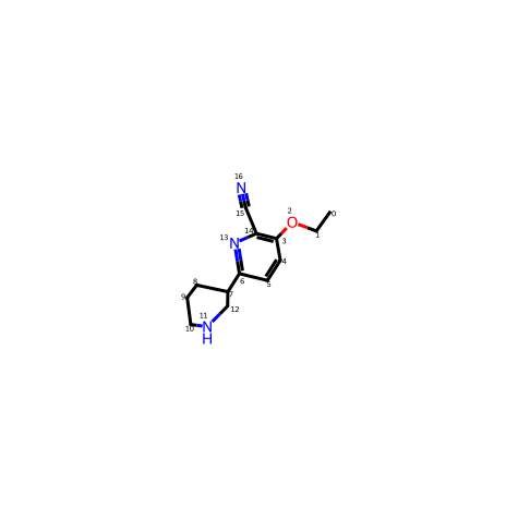 CCOc1ccc(C2CCCNC2)nc1C#N